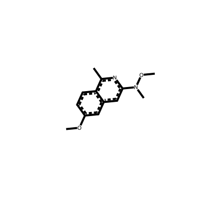 COc1ccc2c(C)nc(N(C)OC)cc2c1